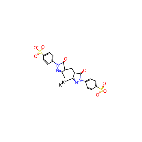 CC1=NN(c2ccc(S(=O)(=O)[O-])cc2)C(=O)C1CC1C(=O)N(c2ccc(S(=O)(=O)[O-])cc2)N=C1C.[K+].[K+]